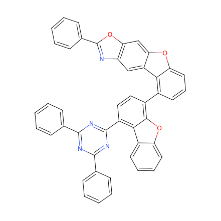 c1ccc(-c2nc(-c3ccccc3)nc(-c3ccc(-c4cccc5oc6cc7oc(-c8ccccc8)nc7cc6c45)c4oc5ccccc5c34)n2)cc1